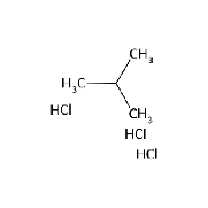 CC(C)C.Cl.Cl.Cl